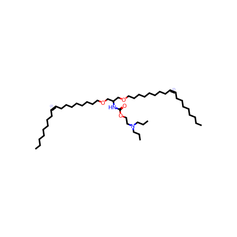 CCCCCCCC/C=C\CCCCCCCCOCC(COCCCCCCCC/C=C\CCCCCCCC)NC(=O)OCCN(CCC)CCC